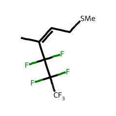 [CH2]SCC=C(C)C(F)(F)C(F)(F)C(F)(F)F